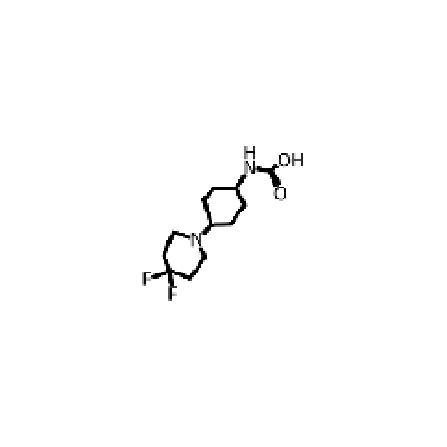 O=C(O)NC1CCC(N2CCC(F)(F)CC2)CC1